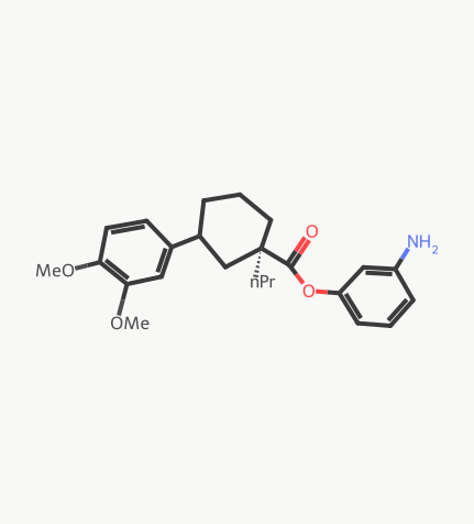 CCC[C@@]1(C(=O)Oc2cccc(N)c2)CCCC(c2ccc(OC)c(OC)c2)C1